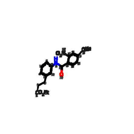 CCOC(=O)CCc1cccc(NC(=O)c2ccc(OC)cc2[N+](=O)[O-])c1